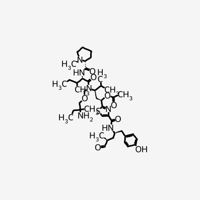 CCC(C)[C@H](NC(=O)[C@H]1CCCCN1C)C(=O)N(COCC(C)(N)CC)[C@H](C[C@@H](OC(C)=O)c1nc(C(=O)N[C@@H](Cc2ccc(O)cc2)C[C@H](C)C=O)cs1)C(C)C